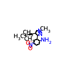 Cn1cc(C#CC(C)(C)C)c(-c2cc([N+](=O)[O-])ccc2N)n1